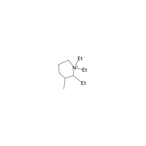 CCC1C(C)CCC[N+]1(CC)CC